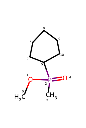 COP(C)(=O)C1CCCCC1